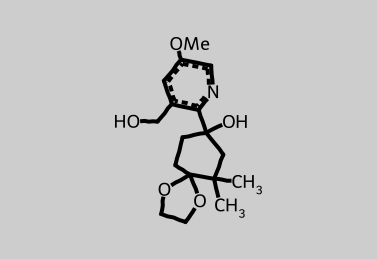 COc1cnc(C2(O)CCC3(OCCO3)C(C)(C)C2)c(CO)c1